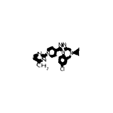 Cc1ccnc(N2CCC(c3nnc4n3-c3ccc(Cl)cc3CN(C3CC3)C4)CC2)n1